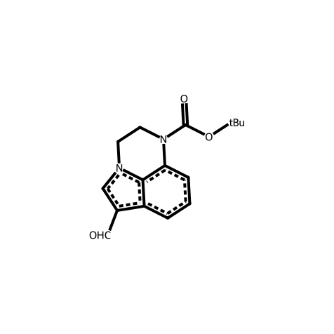 CC(C)(C)OC(=O)N1CCn2cc(C=O)c3cccc1c32